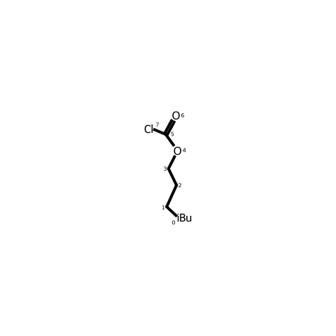 CCC(C)CCCOC(=O)Cl